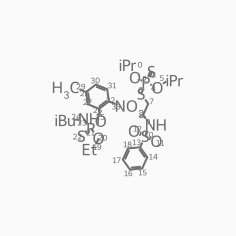 CC(C)OP(=S)(OC(C)C)SCCNS(=O)(=O)c1ccccc1.CCOP(=S)(NC(C)CC)Oc1cc(C)ccc1[N+](=O)[O-]